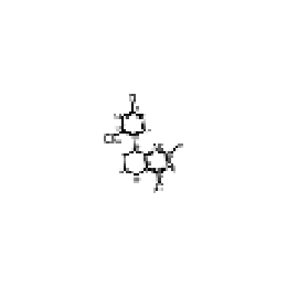 Cc1nc(Cl)c2c(n1)C(c1ccc(Cl)cc1Cl)CCC2